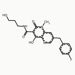 Cn1c(=O)c(C(=O)NCCCO)c(O)c2ncc(Cc3ccc(F)cc3)cc21